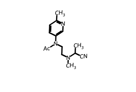 CC(=O)N(CCN(C)C(C)C#N)c1ccc(C)nc1